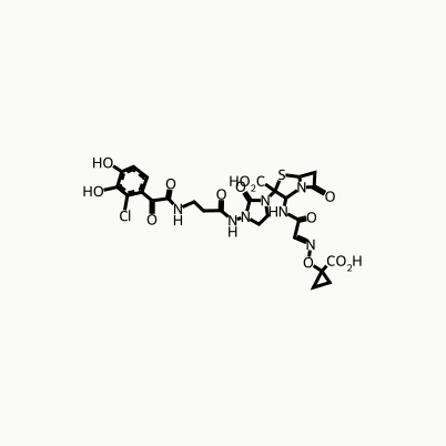 O=C(C=NOC1(C(=O)O)CC1)NC1N2C(=O)CC2SC1(C(=O)O)N1CCN(NC(=O)CCNC(=O)C(=O)c2ccc(O)c(O)c2Cl)C1=O